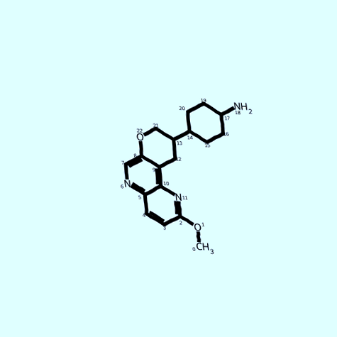 COc1ccc2ncc3c(c2n1)CC(C1CCC(N)CC1)CO3